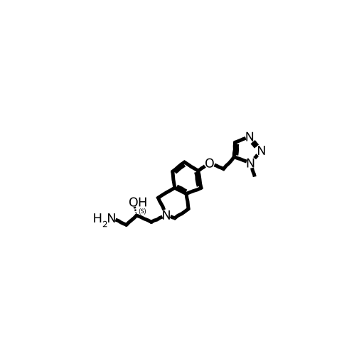 Cn1nncc1COc1ccc2c(c1)CCN(C[C@@H](O)CN)C2